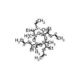 C=CSC(CC)[Si]1(C)O[Si](C)(C(CC)SC=C)O[Si](C)(C(CC)SC=C)O[Si](C)(C(CC)SC=C)O1